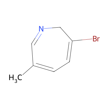 CC1=CC=C(Br)CN=C1